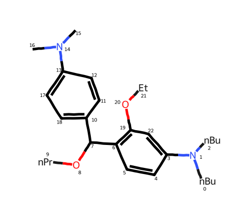 CCCCN(CCCC)c1ccc(C(OCCC)c2ccc(N(C)C)cc2)c(OCC)c1